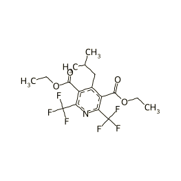 CCOC(=O)c1c(C(F)(F)F)nc(C(F)(F)F)c(C(=O)OCC)c1CC(C)C